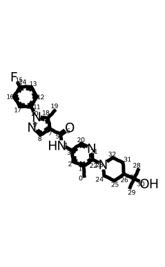 Cc1cc(NC(=O)c2cnn(-c3ccc(F)cc3)c2C)cnc1N1CCC(C(C)(C)O)CC1